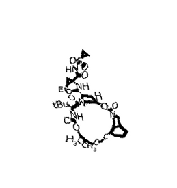 CCC1C[C@]1(NC(=O)[C@@H]1C[C@@H]2CN1C(=O)[C@H](C(C)(C)C)NC(=O)OCC(C)(C)CCCCc1cccc3c1CN(C3)C(=O)O2)C(=O)NS(=O)(=O)C1CC1